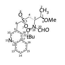 CO[C@H](C)[C@@H](CS(=O)(=O)Cc1cnc2ccccc2c1)N(C=O)OC(C)(C)C